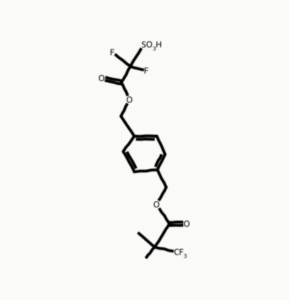 CC(C)(C(=O)OCc1ccc(COC(=O)C(F)(F)S(=O)(=O)O)cc1)C(F)(F)F